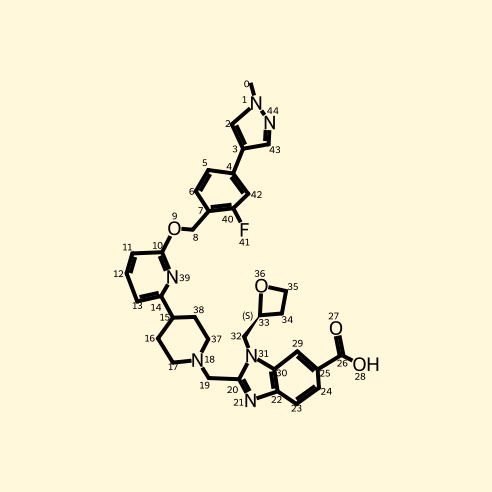 Cn1cc(-c2ccc(COc3cccc(C4CCN(Cc5nc6ccc(C(=O)O)cc6n5C[C@@H]5CCO5)CC4)n3)c(F)c2)cn1